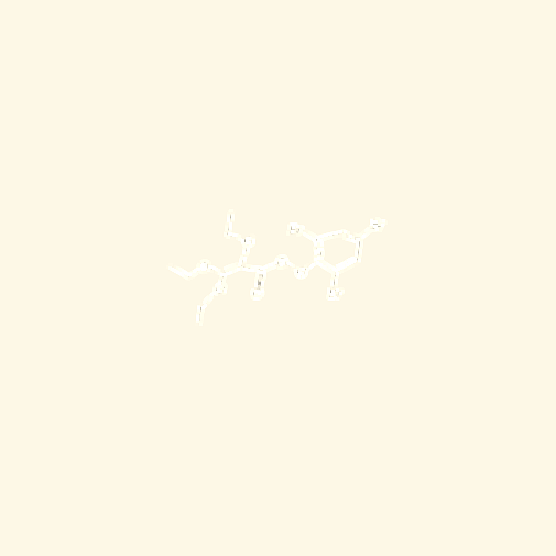 CCOC(OCC)=C(OCC)C(=O)OOc1c(Br)cc(Br)cc1Br